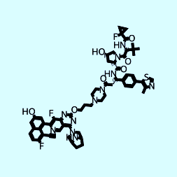 C#Cc1c(F)ccc2cc(O)cc(-c3ncc4c(N5CC6CCC(C5)N6)nc(OCCCN5CCN(C(=O)C[C@H](NC(=O)[C@@H]6C[C@@H](O)CN6C(=O)[C@@H](NC(=O)C6(F)CC6)C(C)(C)C)c6ccc(-c7scnc7C)cc6)CC5)nc4c3F)c12